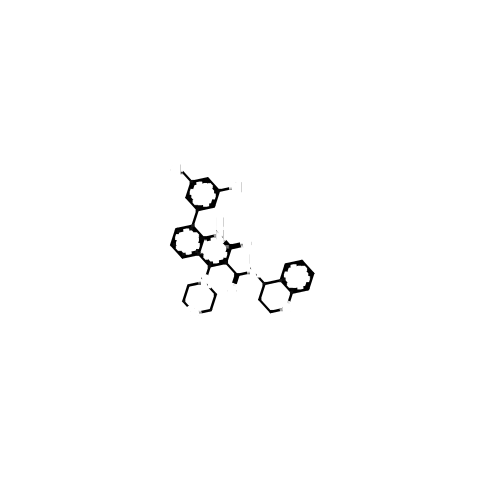 O=C(NC1CCOc2ccccc21)c1c(N2CCOCC2)c2cccc(-c3cc(Cl)cc(Cl)c3)c2[nH]c1=O